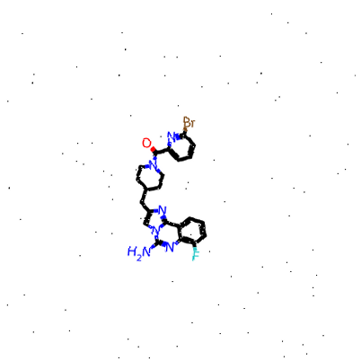 Nc1nc2c(F)cccc2c2nc(CC3CCN(C(=O)c4cccc(Br)n4)CC3)cn12